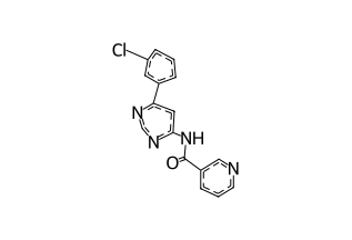 O=C(Nc1cc(-c2cccc(Cl)c2)ncn1)c1cccnc1